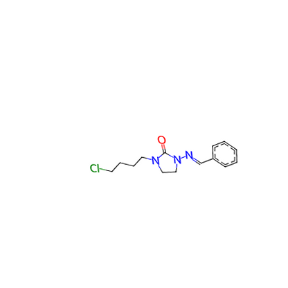 O=C1N(CCCCCl)CCN1/N=C/c1ccccc1